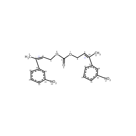 C/C(=C/COC(=O)OC/C=C(/C)c1cccc([N+](=O)[O-])c1)c1cccc([N+](=O)[O-])c1